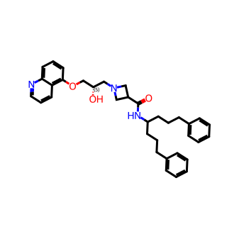 O=C(NC(CCCc1ccccc1)CCCc1ccccc1)C1CN(C[C@H](O)COc2cccc3ncccc23)C1